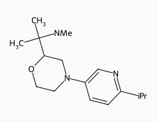 CNC(C)(C)C1CN(c2ccc(C(C)C)nc2)CCO1